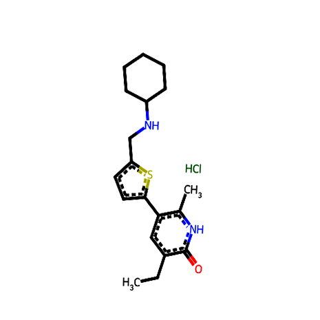 CCc1cc(-c2ccc(CNC3CCCCC3)s2)c(C)[nH]c1=O.Cl